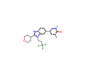 Cc1cc(-c2ccc3nc(C4CCOCC4)n(CCC(F)(F)F)c3c2)cn(C)c1=O